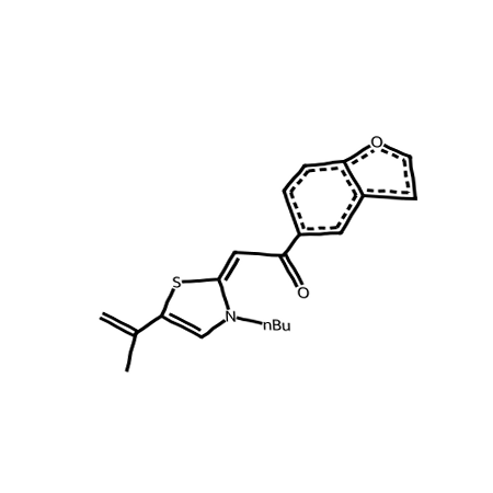 C=C(C)C1=CN(CCCC)C(=CC(=O)c2ccc3occc3c2)S1